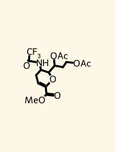 COC(=O)C1=CCC(NC(=O)C(F)(F)F)C(C(CCOC(C)=O)OC(C)=O)O1